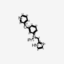 CC(C)N(Cc1ncc[nH]1)c1cccc(Oc2cccnc2)c1